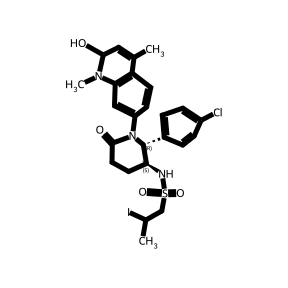 CC1=CC(O)N(C)c2cc(N3C(=O)CC[C@H](NS(=O)(=O)CC(C)I)[C@H]3c3ccc(Cl)cc3)ccc21